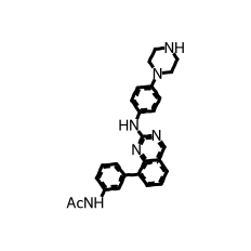 CC(=O)Nc1cccc(-c2cccc3cnc(Nc4ccc(N5CCNCC5)cc4)nc23)c1